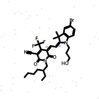 CCCCC(CC)CN1C(=O)C(C#N)=C(C(F)(F)F)/C(=C/C=C2/N(CCCO)c3ccc(Br)cc3C2(C)C)C1=O